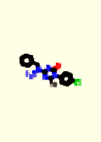 CCc1nc(N(N)Cc2ccccc2)nc(=O)n1-c1ccc(Cl)cc1